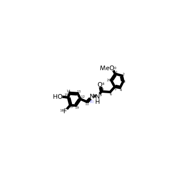 COc1cccc(CC(=O)N/N=C/c2ccc(O)c(F)c2)c1